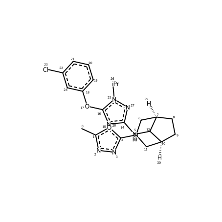 Cc1nnc(N2C[C@H]3CC[C@@H](C2)C3Nc2nc(Oc3cccc(Cl)c3)n(C(C)C)n2)o1